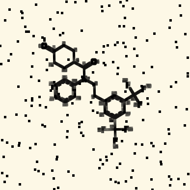 O=C1CCC(C(=O)N(CCc2cc(C(F)(F)F)cc(C(F)(F)F)c2)c2ccccc2)CC1